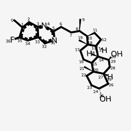 Cc1cc2nc(CC[C@@H](C)[C@H]3CC[C@H]4[C@H]5C(CC[C@]34C)[C@@]3(C)CC[C@@H](O)C[C@H]3C[C@@H]5O)ncc2cc1F